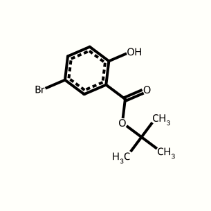 CC(C)(C)OC(=O)c1cc(Br)ccc1O